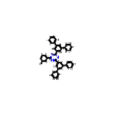 Cc1cccc(-c2nc(-c3cc(-c4ccccc4)cc(-c4ccccc4)c3)nc(-c3cc(-c4ccccc4)cc(-c4ccccc4)c3)n2)c1